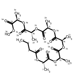 CCCC(=O)O[C@@H](C)C(=O)O[C@H](C)C(=O)O[C@H](C)C(=O)O[C@H](C)C(=O)O[C@H](C)C(=O)O[C@H](C)C(=O)OO